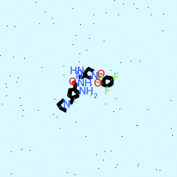 Nc1cc(CN2CCCC2)ccc1C(=O)Nc1n[nH]c2c1CN(S(=O)(=O)c1cc(F)cc(F)c1)CC2